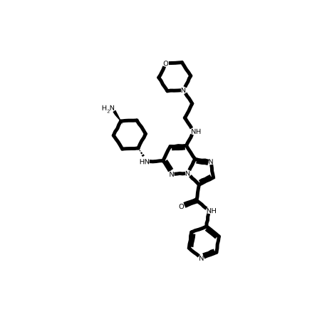 N[C@H]1CC[C@H](Nc2cc(NCCN3CCOCC3)c3ncc(C(=O)Nc4ccncc4)n3n2)CC1